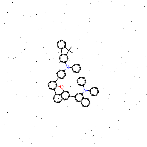 CC1(C)c2ccccc2-c2ccc(N(c3ccccc3)c3ccc(-c4cccc5c4Oc4cc(-c6cc(N(c7ccccc7)c7ccccc7)c7ccccc7c6)cc6cccc-5c46)cc3)cc21